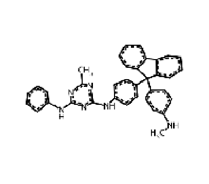 CNc1ccc(C2(c3ccc(Nc4nc(C)nc(Nc5ccccc5)n4)cc3)c3ccccc3-c3ccccc32)cc1